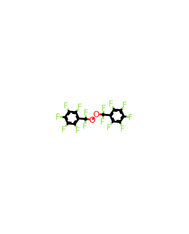 Fc1c(F)c(F)c(C(F)(F)OOC(F)(F)c2c(F)c(F)c(F)c(F)c2F)c(F)c1F